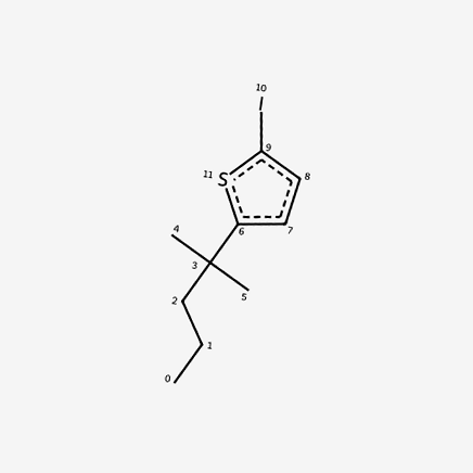 CCCC(C)(C)c1ccc(I)s1